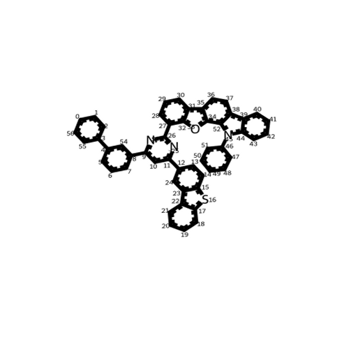 c1ccc(-c2cccc(-c3cc(-c4ccc5sc6ccccc6c5c4)nc(-c4cccc5c4oc4c5ccc5c6ccccc6n(-c6ccccc6)c54)n3)c2)cc1